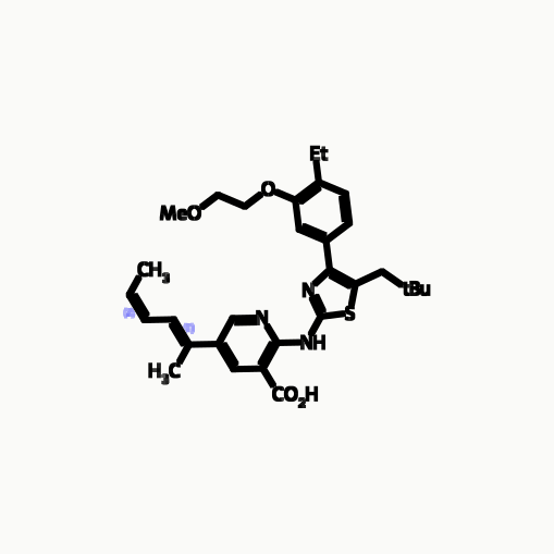 C/C=C\C=C(/C)c1cnc(Nc2nc(-c3ccc(CC)c(OCCOC)c3)c(CC(C)(C)C)s2)c(C(=O)O)c1